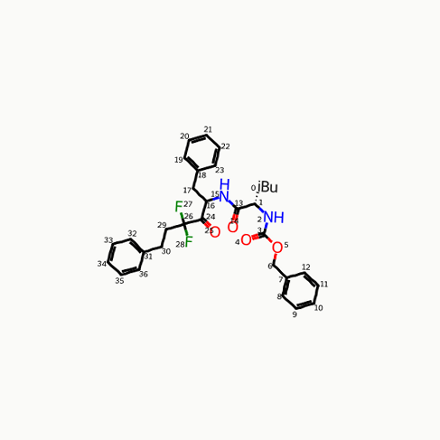 CCC(C)[C@H](NC(=O)OCc1ccccc1)C(=O)NC(Cc1ccccc1)C(=O)C(F)(F)CCc1ccccc1